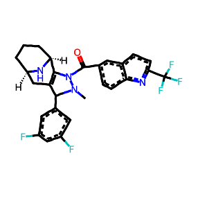 CN1C(c2cc(F)cc(F)c2)C2=C([C@@H]3CCC[C@H](C2)N3)N1C(=O)c1ccc2nc(C(F)(F)F)ccc2c1